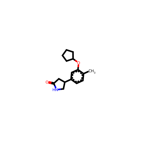 Cc1ccc(C2CNC(=O)C2)cc1OC1CCCC1